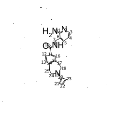 Nc1ncccc1CNC(=O)c1ccc2c(c1)CCN(C1=CC=C1)CC2